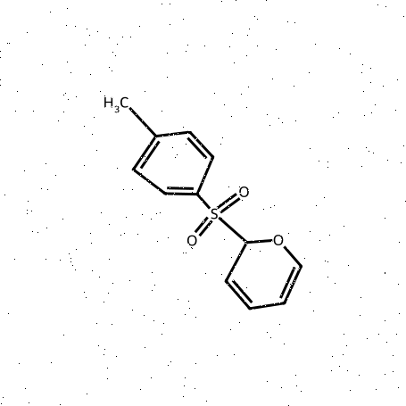 Cc1ccc(S(=O)(=O)C2C=CC=CO2)cc1